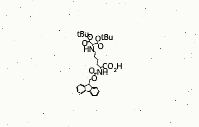 CC(C)(C)OC(=O)C(NCCCC[C@H](NC(=O)OCC1c2ccccc2-c2ccccc21)C(=O)O)C(=O)OC(C)(C)C